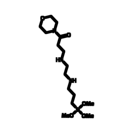 CO[Si](CCCNCCNCCC(=O)N1CCOCC1)(OC)OC